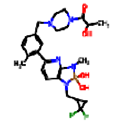 Cc1ccc(CN2CCN(C(=O)C(C)O)CC2)cc1-c1ccc2c(n1)N(C)S(O)(O)N2CC1CC1(F)F